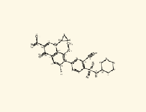 COc1c(-c2ccc(S(=O)(=O)NC3CCCCC3)c(C#N)c2)c(F)cc2c(=O)c(C(=O)O)cn(C3CC3)c12